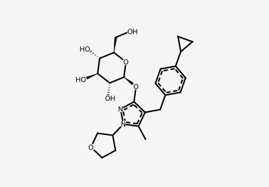 Cc1c(Cc2ccc(C3CC3)cc2)c(O[C@@H]2O[C@H](CO)[C@@H](O)[C@H](O)[C@H]2O)nn1C1CCOC1